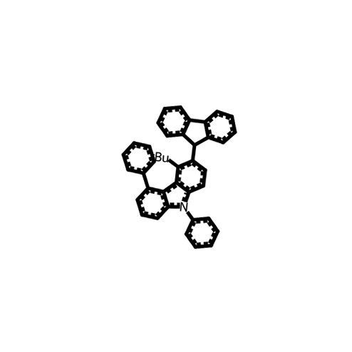 CC(C)(C)c1c(C2c3ccccc3-c3ccccc32)ccc2c1c1c(-c3ccccc3)cccc1n2-c1ccccc1